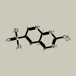 CCP(=O)(CC)c1cnc2nc(C)ncc2c1